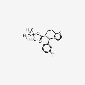 CC(C)(C)OC(=O)N1CCc2sccc2C1c1cccc(F)c1